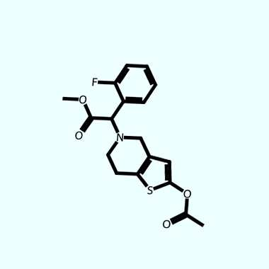 COC(=O)C(c1ccccc1F)N1CCc2sc(OC(C)=O)cc2C1